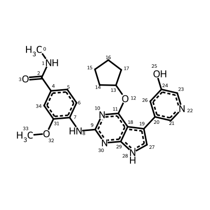 CNC(=O)c1ccc(Nc2nc(OC3CCCC3)c3c(-c4cncc(O)c4)c[nH]c3n2)c(OC)c1